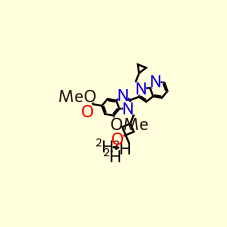 [2H]C([2H])([2H])OC1(C)CC(Cn2c(-c3cc4cccnc4n3CC3CC3)nc3cc(C(=O)OC)cc(OC)c32)C1